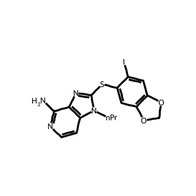 CCCn1c(Sc2cc3c(cc2I)OCO3)nc2c(N)nccc21